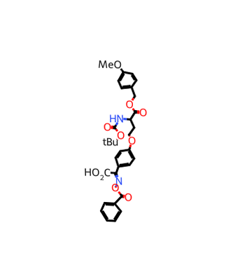 COc1ccc(COC(=O)C(CCOc2ccc(C(=NOC(=O)c3ccccc3)C(=O)O)cc2)NC(=O)OC(C)(C)C)cc1